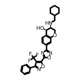 O[C@@H]1c2ccc(-c3noc(-c4onc(-c5ccccc5)c4C(F)(F)F)n3)cc2OC[C@@H]1NCC1CCCCC1